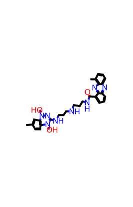 Cc1ccc2c(c1)N(O)N=C(NCCCNCCCNC(=O)c1cccc3nc4cccc(C)c4nc13)N2O